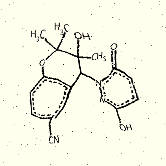 CC1(C)Oc2ccc(C#N)cc2C(n2nc(O)ccc2=O)C1(C)O